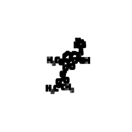 COc1ccc2c(c1C(=O)OCOC(=O)OC(C)C)OB(O)[C@@H](Sc1nncs1)C2